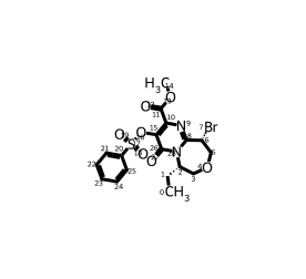 CC[C@H]1COC[C@@H](Br)c2nc(C(=O)OC)c(OS(=O)(=O)c3ccccc3)c(=O)n21